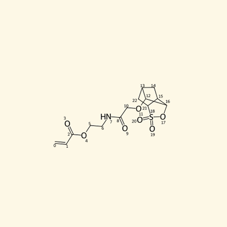 C=CC(=O)OCCNC(=O)COC1C2CC3C1OS(=O)(=O)C3C2